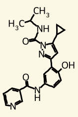 CC(C)NC(=O)n1nc(-c2cc(NC(=O)c3cccnc3)ccc2O)cc1C1CC1